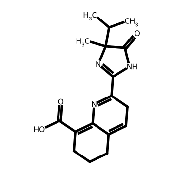 CC(C)C1(C)N=C(C2=NC3=C(C(=O)O)CCCC3=CC2)NC1=O